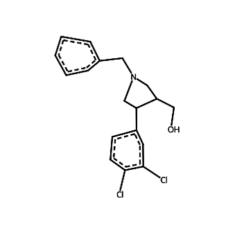 OCC1CN(Cc2ccccc2)CC1c1ccc(Cl)c(Cl)c1